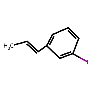 CC=Cc1cccc(I)c1